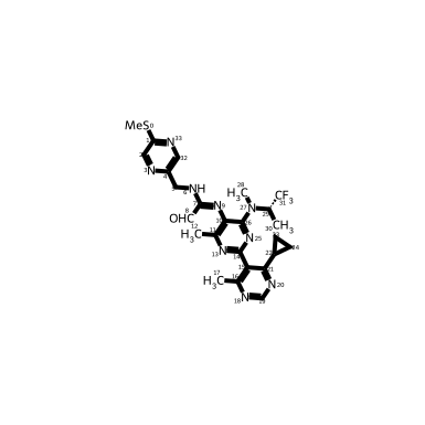 CSc1cnc(CN/C(C=O)=N/c2c(C)nc(-c3c(C)ncnc3C3CC3)nc2N(C)[C@@H](C)C(F)(F)F)cn1